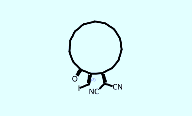 N#CC(C#N)=C1CCCCCCCCCCCCC(=O)/C1=C\I